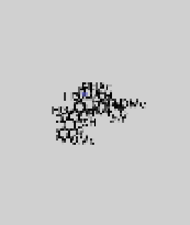 COc1cccc2c1C(=O)c1c(O)c3c(c(O)c1C2=O)C[C@@](O)(/C(CO)=N/NC(C)=O)C[C@@H]3O[C@H]1CC2[C@H](O[C@@H]3[C@@H](OC)OCCN23)[C@H](C)O1